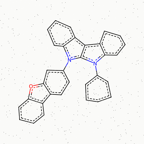 c1ccc(-n2c3ccccc3c3c4ccccc4n(-c4ccc5c(c4)oc4ccccc45)c32)cc1